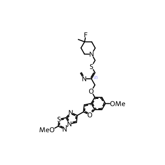 C=N/C(=C\SCN1CCC(C)(F)CC1)COc1cc(OC)cc2oc(-c3cn4nc(OC)sc4n3)cc12